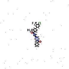 Cc1cc(-c2ccc(Cl)c(C(F)(F)F)c2)ccc1C(=O)N1CC(N2CCN(C(=O)c3ccccc3)CC2)C1